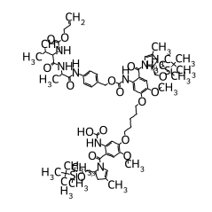 C=CCOC(=O)NC(C(=O)NC(C)C(=O)Nc1ccc(COC(=O)Nc2cc(OCCCCCOc3cc(NC(=O)O)c(C(=O)N4C=C(C)C[C@H]4CO[Si](C)(C)C(C)(C)C)cc3OC)c(OC)cc2C(=O)N2C=C(C)C[C@H]2CO[Si](C)(C)C(C)(C)C)cc1)C(C)C